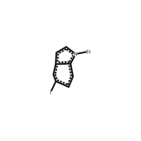 CCn1ccc2cc(I)ccc21